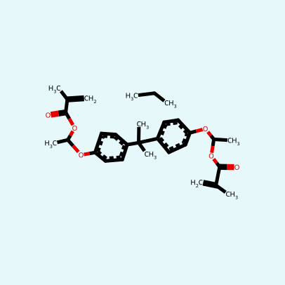 C=C(C)C(=O)OC(C)Oc1ccc(C(C)(C)c2ccc(OC(C)OC(=O)C(=C)C)cc2)cc1.CCC